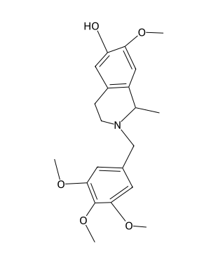 COc1cc2c(cc1O)CCN(Cc1cc(OC)c(OC)c(OC)c1)C2C